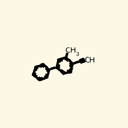 C#Cc1ccc(-c2ccccc2)cc1C